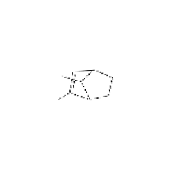 CC1=CC2CCC1C2C